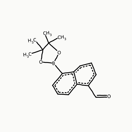 CC1(C)OB(c2cccc3c(C=O)cccc23)OC1(C)C